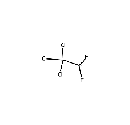 F[C](F)C(Cl)(Cl)Cl